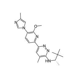 COc1nc(-c2cc(C)c(N[C@@H](C)C(C)(C)C)nn2)ccc1-n1cnc(C)c1